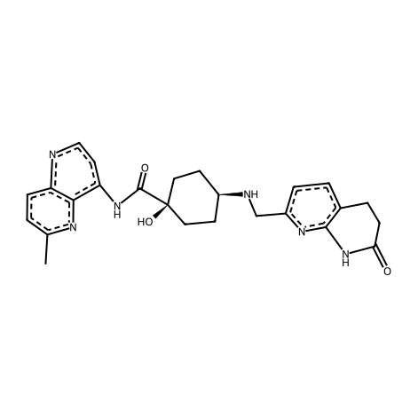 Cc1ccc2nccc(NC(=O)[C@]3(O)CC[C@@H](NCc4ccc5c(n4)NC(=O)CC5)CC3)c2n1